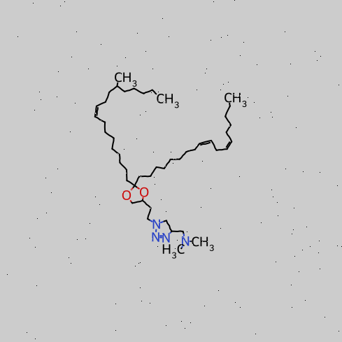 CCCCC/C=C\C/C=C\CCCCCCCCC1(CCCCCCCC/C=C\CCC(C)CCCCC)OCC(CCN2CC(CN(C)C)N=N2)O1